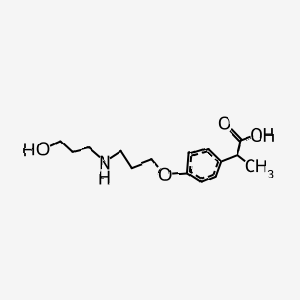 CC(C(=O)O)c1ccc(OCCCNCCCO)cc1